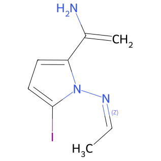 C=C(N)c1ccc(I)n1/N=C\C